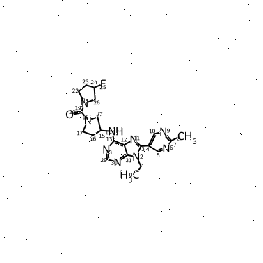 CCn1c(-c2cnc(C)nc2)nc2c(NC3CCN(C(=O)N4CCC(F)C4)C3)ncnc21